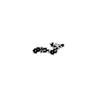 CC(C)(C)OC(=O)/N=C(\NC(=O)OC(C)(C)C)N1CCc2ccc(OCC3CCN(S(=O)(=O)c4ccc5ccccc5c4)CC3)cc2C1